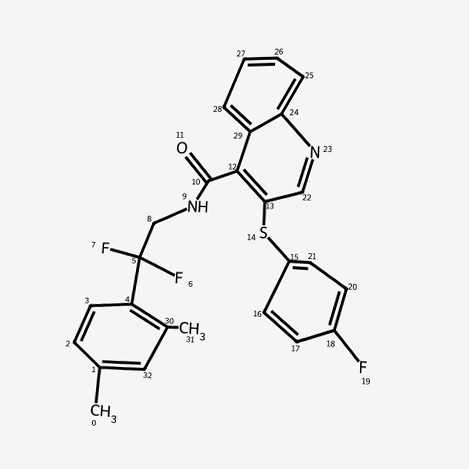 Cc1ccc(C(F)(F)CNC(=O)c2c(Sc3ccc(F)cc3)cnc3ccccc23)c(C)c1